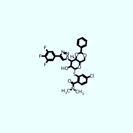 CN(C)C(=O)c1ccc(Cl)cc1S[C@H]1OC2COC(c3ccccc3)O[C@@H]2C(n2cc(-c3cc(F)c(F)c(F)c3)nn2)C1O